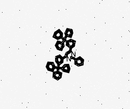 c1ccc(-c2nc(-c3cccc(C(c4ccccc4)(c4ccccc4)c4ccccc4)c3)cc(-c3cccc(C(c4ccccc4)(c4ccccc4)c4ccccc4)c3)n2)cc1